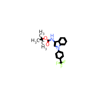 CC(C)(C)OC(=O)Nc1cn(-c2ccc(C(F)(F)F)cc2)c2ccccc12